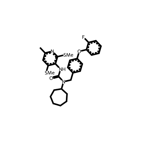 CSc1cc(C)nc(SC)c1NC(=O)N(Cc1ccc(Oc2ccccc2F)cc1)C1CCCCCC1